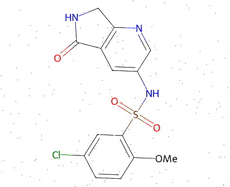 COc1ccc(Cl)cc1S(=O)(=O)Nc1cnc2c(c1)C(=O)NC2